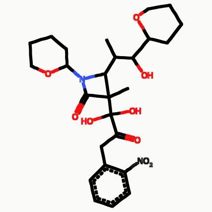 CC(C(O)C1CCCCO1)C1N(C2CCCCO2)C(=O)C1(C)C(O)(O)C(=O)Cc1ccccc1[N+](=O)[O-]